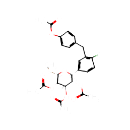 CS[C@H]1O[C@@H](c2ccc(Cl)c(Cc3ccc(OC(C)=O)cc3)c2)[C@H](OC(C)=O)[C@@H](OC(C)=O)[C@@H]1OC(C)=O